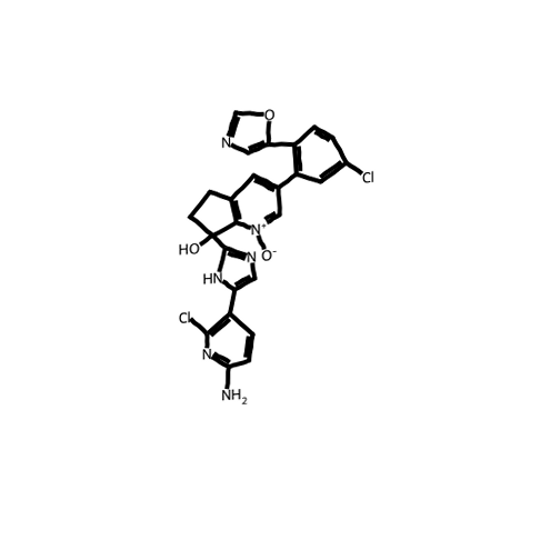 Nc1ccc(-c2cnc(C3(O)CCc4cc(-c5cc(Cl)ccc5-c5cnco5)c[n+]([O-])c43)[nH]2)c(Cl)n1